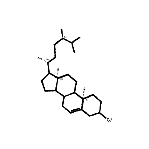 CC(C)[C@H](C)CC[C@@H](C)C1CCC2C3CC=C4CC(O)CC[C@]4(C)C3CC[C@@]21C